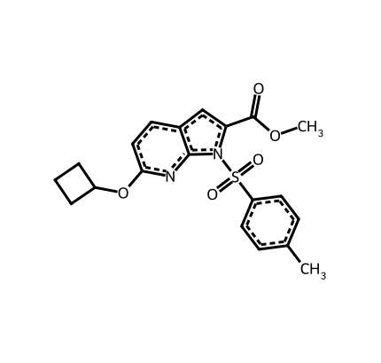 COC(=O)c1cc2ccc(OC3CCC3)nc2n1S(=O)(=O)c1ccc(C)cc1